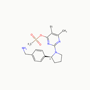 CCc1c(C)nc(N2CCC[C@H]2c2ccc(CN)cc2)nc1OS(=O)(=O)C(F)(F)F